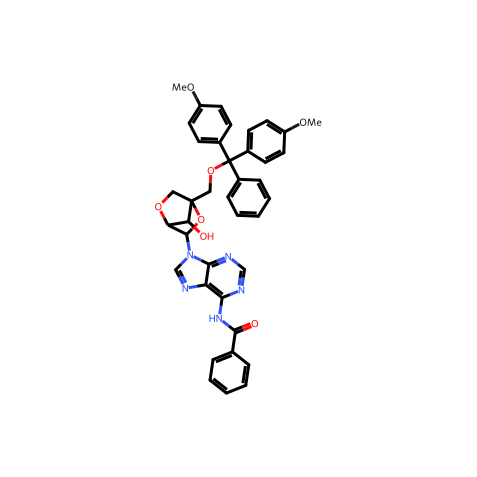 COc1ccc(C(OCC23COC(C(n4cnc5c(NC(=O)c6ccccc6)ncnc54)O2)C3O)(c2ccccc2)c2ccc(OC)cc2)cc1